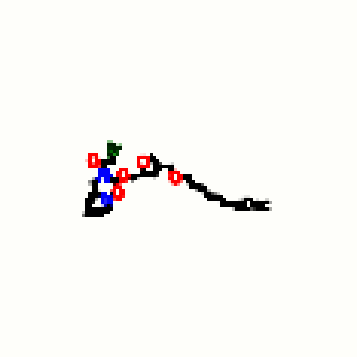 CCCCCCCCCCCCCCCCOC[C@@H]1CO[C@@H](COC(=O)N(Cc2ccccn2)C(=O)CBr)C1